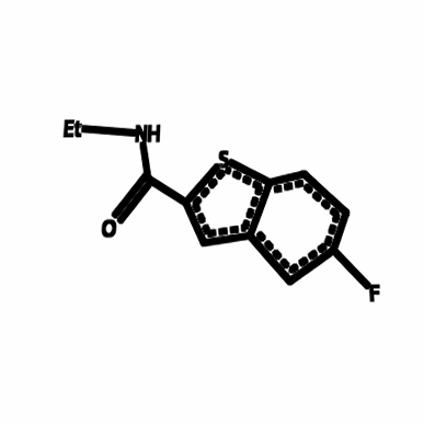 CCNC(=O)c1cc2cc(F)ccc2s1